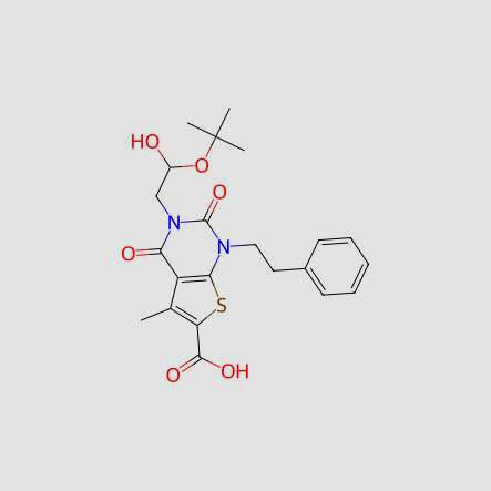 Cc1c(C(=O)O)sc2c1c(=O)n(CC(O)OC(C)(C)C)c(=O)n2CCc1ccccc1